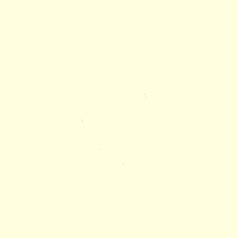 CCC(CC)NS(=O)(=O)c1ccc2c(c1)/C(=C\c1nccs1)C(=O)N2